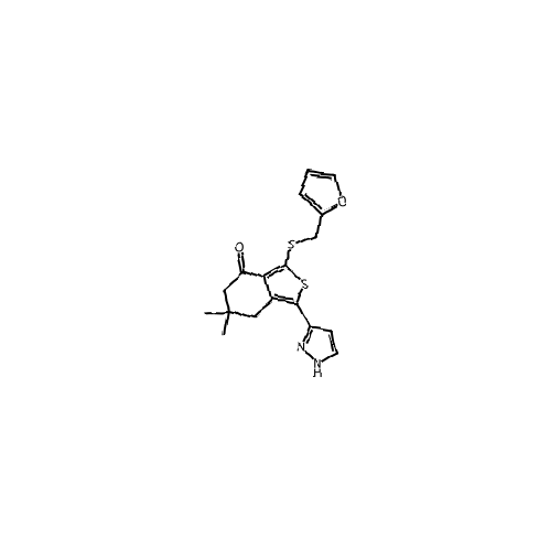 CC1(C)CC(=O)c2c(SCc3ccco3)sc(-c3cc[nH]n3)c2C1